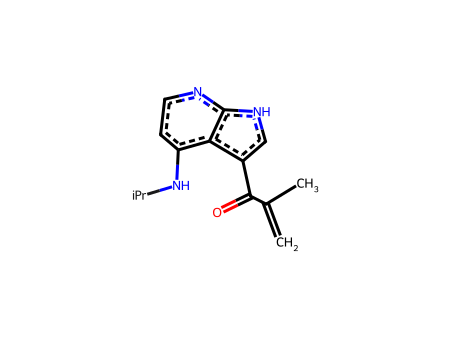 C=C(C)C(=O)c1c[nH]c2nccc(NC(C)C)c12